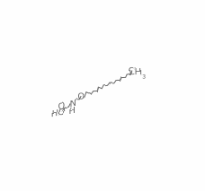 CCCCCCCCCCCCCCCCCCOCCNCCC(=O)O